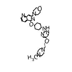 CN1CCN(CCOc2cnc(N[C@H]3CC[C@@H](Oc4nc(N5CCOCC5)cc5ncccc45)CC3)nc2)CC1